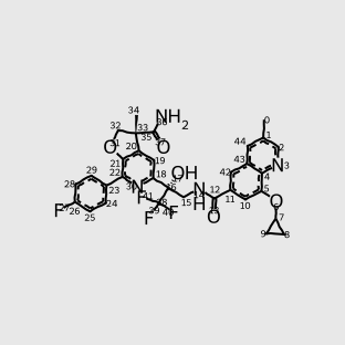 Cc1cnc2c(OC3CC3)cc(C(=O)NC[C@](O)(c3cc4c(c(-c5ccc(F)cc5)n3)OC[C@]4(C)C(N)=O)C(F)(F)F)cc2c1